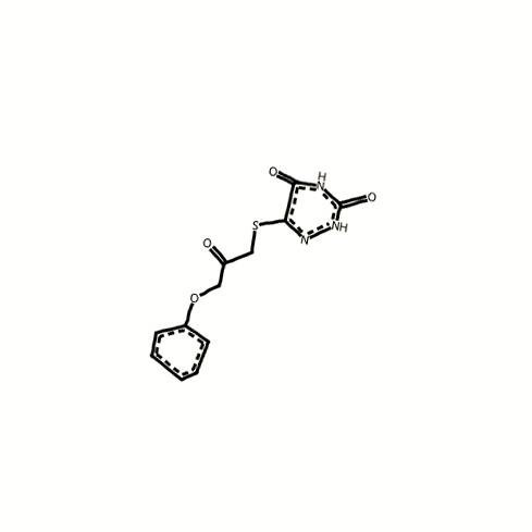 O=C(COc1ccccc1)CSc1n[nH]c(=O)[nH]c1=O